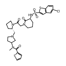 CN(C(=O)c1cccs1)C1CCN(C[C@@H]2CCCN2C(=O)CN2CCC[C@H](NS(=O)(=O)c3cc4cc(Cl)ccc4s3)C2=O)C1